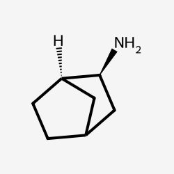 N[C@H]1CC2CC[C@@H]1C2